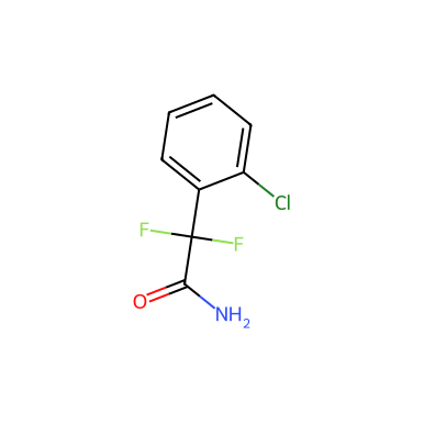 NC(=O)C(F)(F)c1ccccc1Cl